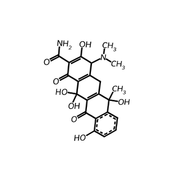 CN(C)C1C(O)=C(C(N)=O)C(=O)C2=C1CC1=C(C(=O)c3c(O)cccc3C1(C)O)C2(O)O